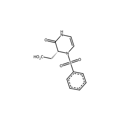 O=C(O)C[C@@H]1C(=O)NC=CN1S(=O)(=O)c1ccccc1